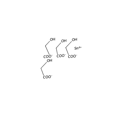 O=C([O-])CO.O=C([O-])CO.O=C([O-])CO.O=C([O-])CO.[Sn+4]